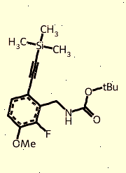 COc1ccc(C#C[Si](C)(C)C)c(CNC(=O)OC(C)(C)C)c1F